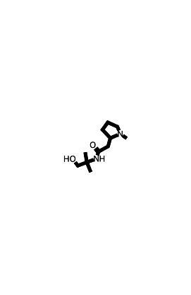 CN1CCCC1CC(=O)NC(C)(C)CO